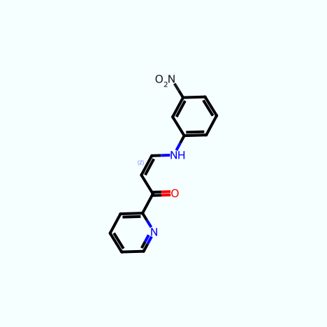 O=C(/C=C\Nc1cccc([N+](=O)[O-])c1)c1ccccn1